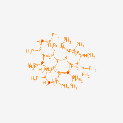 PP(P)P(P(P)P)P(P(P(P)P)P(P)P)P(P(P(P)P)P(P)P)P(P(P(P(P)P)P(P)P)P(P(P)P)P(P)P)P(P(P(P)P)P(P)P)P(P(P)P)P(P)P